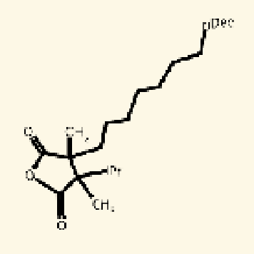 CCCCCCCCCCCCCCCCCC1(C)C(=O)OC(=O)C1(C)C(C)C